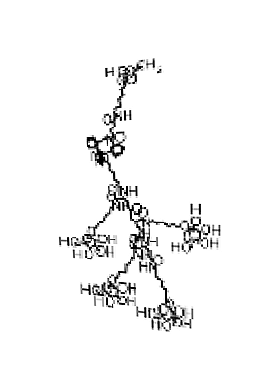 C=COP(=O)(O)OCCCCCCNC(=O)CCC(=O)N1Cc2ccccc2-c2nnn(CCCCCC(=O)NC(CCC(=O)CC(CCC(=O)NC(CCC(=O)NCCCCCCO[C@H]3O[C@H](CO)C(O)C(O)C3O)C(=O)NCCCCCCO[C@H]3O[C@H](CO)C(O)C(O)C3O)C(=O)NCCCCCCO[C@H]3O[C@H](CO)C(O)C(O)C3O)C(=O)NCCCCCCO[C@H]3O[C@H](CO)C(O)C(O)C3O)c2-c2ccccc21